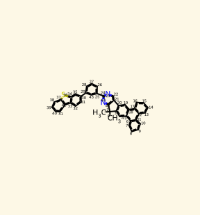 CC1(C)c2cc3c4ccccc4c4ccccc4c3cc2-c2cnc(-c3cccc(-c4ccc5c(c4)sc4ccccc45)c3)nc21